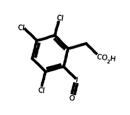 O=Ic1c(Cl)cc(Cl)c(Cl)c1CC(=O)O